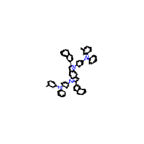 Cc1cccc(N(c2ccccc2)c2ccc(-n3c(-c4ccc5ccccc5c4)cc4cc5c(cc(-c6ccc7ccccc7c6)n5-c5ccc(N(c6ccccc6)c6cccc(C)c6)cc5)cc43)cc2)c1